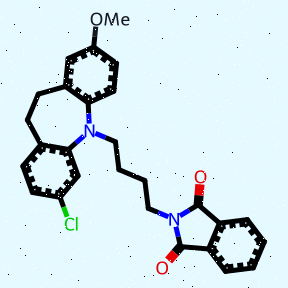 COc1ccc2c(c1)CCc1ccc(Cl)cc1N2CCCCN1C(=O)c2ccccc2C1=O